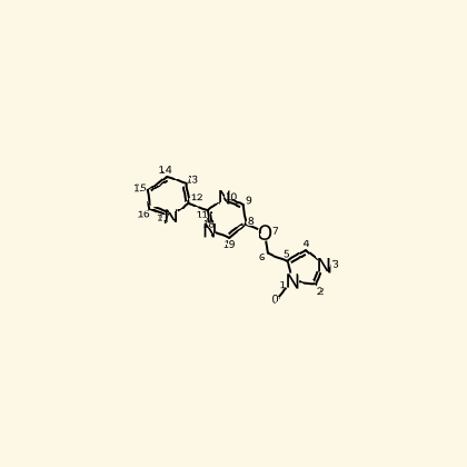 Cn1cncc1COc1cnc(-c2ccccn2)nc1